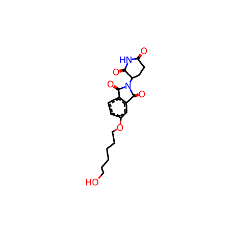 O=C1CCC(N2C(=O)c3ccc(OCCCCCCO)cc3C2=O)C(=O)N1